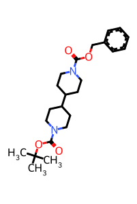 CC(C)(C)OC(=O)N1CCC(C2CCN(C(=O)OCc3ccccc3)CC2)CC1